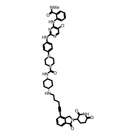 CNC(=O)c1ccccc1Nc1nc(Nc2ccc(N3CCN(C(=O)N[C@H]4CC[C@@H](NCCCC#Cc5cccc6c5CN(C5CCC(=O)NC5=O)C6=O)CC4)CC3)cc2)ncc1Cl